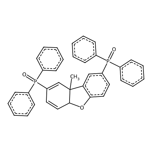 CC12C=C(P(=O)(c3ccccc3)c3ccccc3)C=CC1Oc1ccc(P(=O)(c3ccccc3)c3ccccc3)cc12